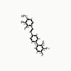 CCCc1ccc(/C=C/c2ccc(-c3ccc(C)c(F)c3F)cc2)c(F)c1F